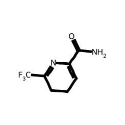 NC(=O)C1=CCCC(C(F)(F)F)=N1